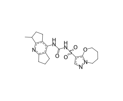 CC1CCc2c1nc1c(c2NC(=O)NS(=O)(=O)c2cnn3c2OCCCC3)CCC1